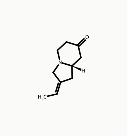 CC=C1C[C@H]2CC(=O)CCN2C1